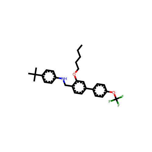 CCCCCOc1cc(-c2ccc(OC(F)(F)F)cc2)ccc1CNc1ccc(C(C)(C)C)cc1